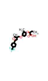 CCC(Oc1ccc(OCc2cc(-c3ccc(C(F)(F)F)cc3)oc2C)cc1C)C(=O)O